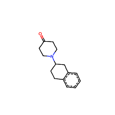 O=C1CCN(C2CCc3ccccc3C2)CC1